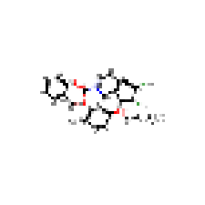 CCOC(=O)COc1ccc(C#N)cc1C1c2cc(F)c(F)cc2CCN1C(=O)OCc1ccccc1